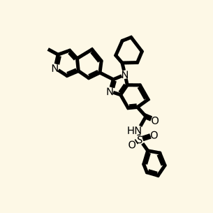 Cc1cc2ccc(-c3nc4cc(C(=O)NS(=O)(=O)c5ccccc5)ccc4n3C3CCCCC3)cc2cn1